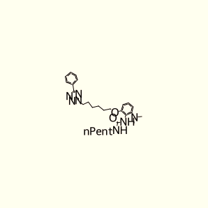 CCCCCNC(=O)Nc1c(OCCCCCCn2nnc(-c3ccccc3)n2)cccc1N(C)C